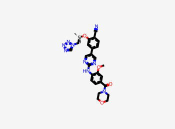 COc1cc(C(=O)N2CCOCC2)ccc1Nc1ncc(-c2ccc(C#N)c(O[Si@@H](C)Cn3cnnn3)c2)cn1